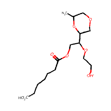 CC1COCC(C(COC(=O)CCCCCC(=O)O)OCCO)O1